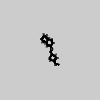 CC(C)c1ccc(COc2ccc3ccccc3c2)cc1